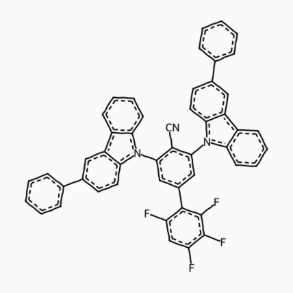 N#Cc1c(-n2c3ccccc3c3cc(-c4ccccc4)ccc32)cc(-c2c(F)cc(F)c(F)c2F)cc1-n1c2ccccc2c2cc(-c3ccccc3)ccc21